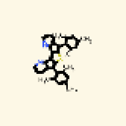 Cc1cc(C)c(C2=c3sc4c(c3-c3ncccc32)-c2ncccc2C=4c2c(C)cc(C)cc2C)c(C)c1